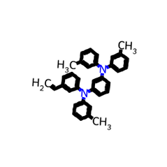 C=Cc1cccc(N(c2cccc(C)c2)c2cccc(N(c3cccc(C)c3)c3cccc(C)c3)c2)c1